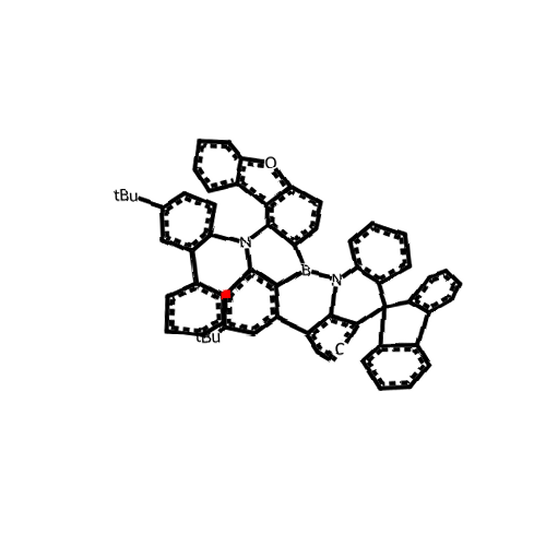 CC(C)(C)c1ccc(N2c3cc(C(C)(C)C)cc4c3B(c3ccc5oc6ccccc6c5c32)N2c3ccccc3C3(c5ccccc5-c5ccccc53)c3cccc-4c32)c(-c2ccccc2)c1